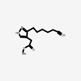 C#CCCCCCc1n[nH]cc1CC(=O)OC(C)(C)C